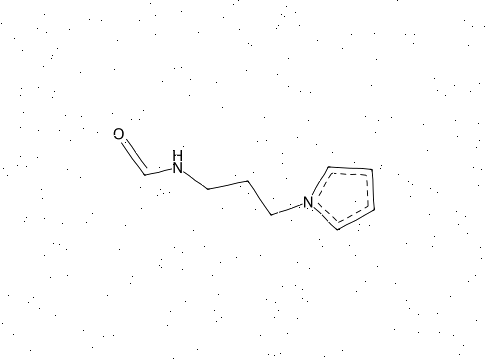 O=CNCCCn1cccc1